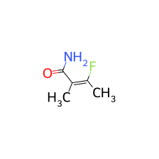 C/C(F)=C(\C)C(N)=O